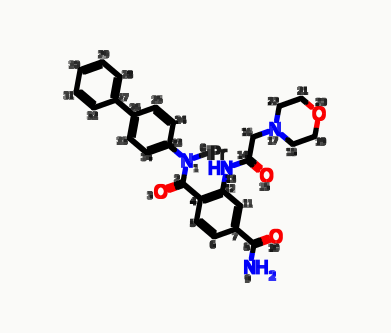 CC(C)N(C(=O)c1ccc(C(N)=O)cc1NC(=O)CN1CCOCC1)c1ccc(-c2ccccc2)cc1